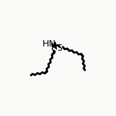 CCCCCC/C=C\CCCCCCCCSCC1(CSCCCCCCCC/C=C\CCCCCC)CNC1